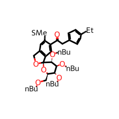 CCCCOC[C@H]1O[C@]2(OCc3cc(SC)c(C(=O)Cc4ccc(CC)cc4)cc32)[C@H](OCCCC)[C@@H](OCCCC)[C@@H]1OCCCC